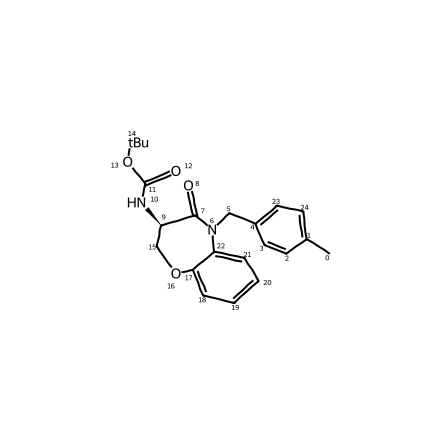 Cc1ccc(CN2C(=O)[C@H](NC(=O)OC(C)(C)C)COc3ccccc32)cc1